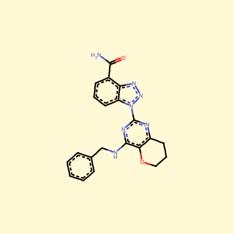 NC(=O)c1cccc2c1nnn2-c1nc2c(c(NCc3ccccc3)n1)OCCC2